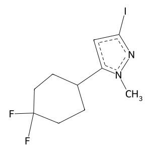 Cn1nc(I)cc1C1CCC(F)(F)CC1